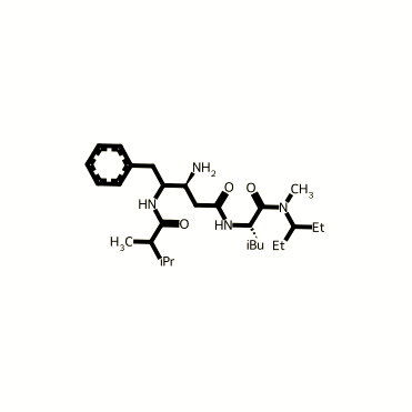 CCC(CC)N(C)C(=O)C(NC(=O)C[C@H](N)C(Cc1ccccc1)NC(=O)C(C)C(C)C)[C@@H](C)CC